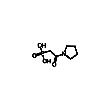 O=C(CP(=O)(O)O)N1CCCC1